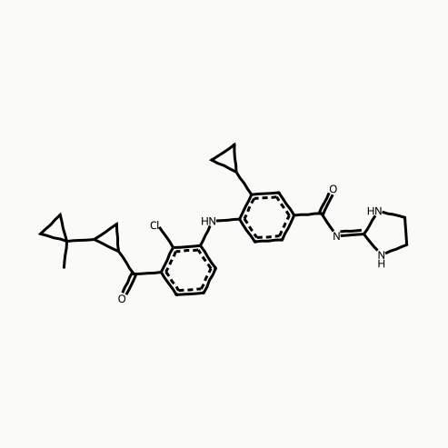 CC1(C2CC2C(=O)c2cccc(Nc3ccc(C(=O)N=C4NCCN4)cc3C3CC3)c2Cl)CC1